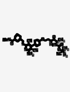 CNC(=O)c1cccc(CSc2nc(N)c(C#N)c(-c3ccc(OCCNC(=O)[C@H](C)NC(=O)OC(C)(C)C#N)cc3)c2C#N)c1